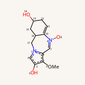 COc1c(O)cn2c1C=[N+]([O-])C1=CCC(O)CC1C2